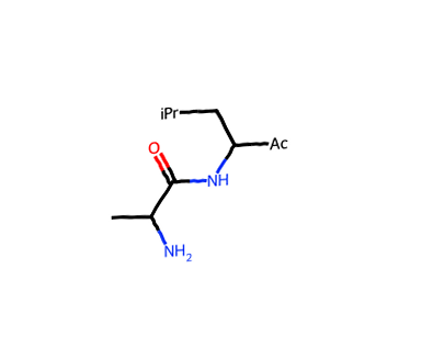 CC(=O)C(CC(C)C)NC(=O)C(C)N